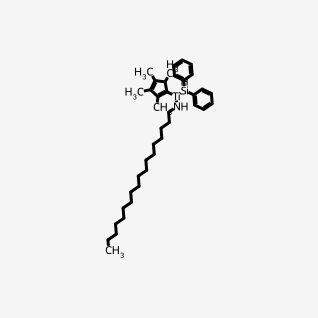 CCCCCCCCCCCCCCCCCC[NH][Ti]([C]1=C(C)C(C)=C(C)C1C)[SiH](c1ccccc1)c1ccccc1